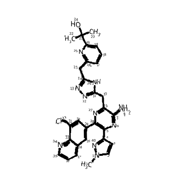 Cn1ccc(-c2nc(N)c(Cc3nnc(Cc4cccc(C(C)(C)O)n4)[nH]3)nc2-c2cc(Cl)c3ncccc3c2)n1